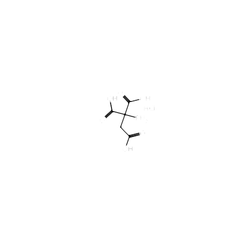 Cl.O=C(O)CC(P)(C(=O)O)C(=O)O